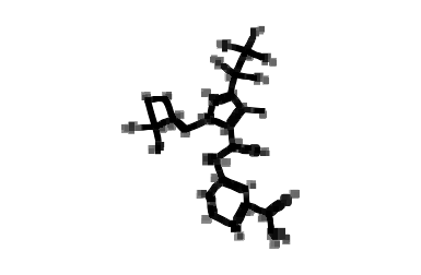 Cc1c(C(F)(F)C(F)(F)F)nn(C[C@@H]2CCC2(F)F)c1C(=O)Nc1ccnc(C(N)=O)c1